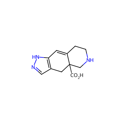 O=C(O)C12CNCCC1=Cc1[nH]ncc1C2